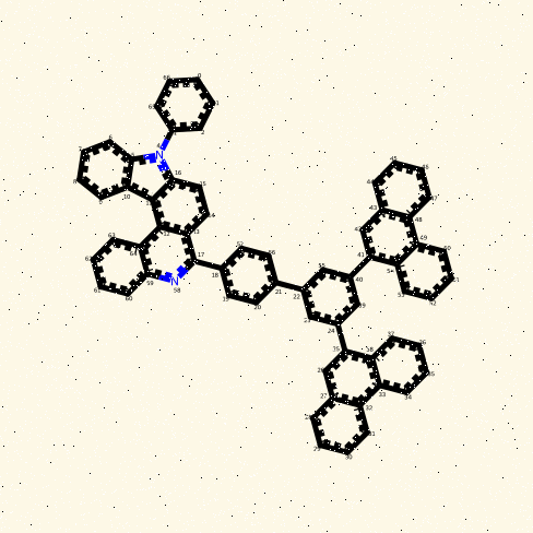 c1ccc(-n2c3ccccc3c3c4c(ccc32)c(-c2ccc(-c3cc(-c5cc6ccccc6c6ccccc56)cc(-c5cc6ccccc6c6ccccc56)c3)cc2)nc2ccccc24)cc1